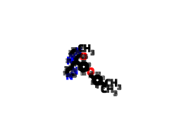 CC(C)c1ccc(COc2ccc(-c3c(-c4ccncn4)nn4c3C(=O)N(C)CC4)cc2)cc1